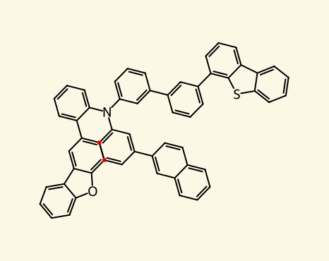 c1cc(-c2cccc(N(c3cccc(-c4ccc5ccccc5c4)c3)c3ccccc3-c3ccc4oc5ccccc5c4c3)c2)cc(-c2cccc3c2sc2ccccc23)c1